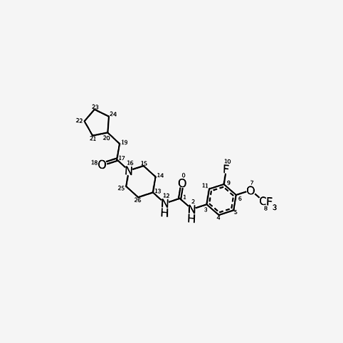 O=C(Nc1ccc(OC(F)(F)F)c(F)c1)NC1CCN(C(=O)CC2CCCC2)CC1